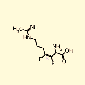 CC(=N)NCCC/C(F)=C(/F)C(N)C(=O)O